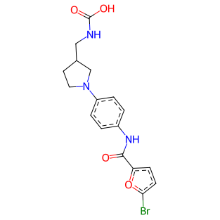 O=C(O)NCC1CCN(c2ccc(NC(=O)c3ccc(Br)o3)cc2)C1